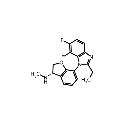 CCc1nc2ccc(F)c(F)c2n1-c1cccc2c1OC[C@H]2NC